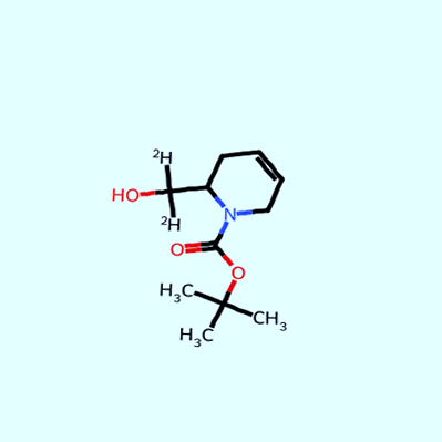 [2H]C([2H])(O)C1CC=CCN1C(=O)OC(C)(C)C